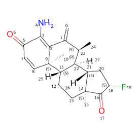 C=C1C2=C(N)C(=O)C=C[C@]2(C)[C@H]2CC[C@]3(C)C(=O)[C@@H](F)C[C@H]3[C@@H]2[C@@H]1C